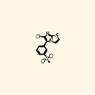 CS(=O)(=O)c1[c]ccc(-c2c(Cl)nc3sccn23)c1